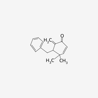 C=C1C(=O)C=CC(C)(C)C1Cc1ccccc1